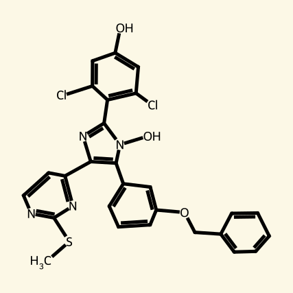 CSc1nccc(-c2nc(-c3c(Cl)cc(O)cc3Cl)n(O)c2-c2cccc(OCc3ccccc3)c2)n1